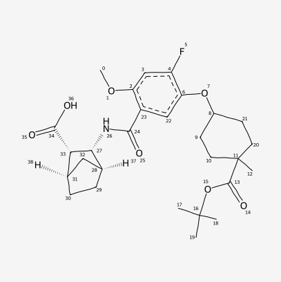 COc1cc(F)c(OC2CCC(C)(C(=O)OC(C)(C)C)CC2)cc1C(=O)N[C@@H]1[C@H]2CC[C@H](C2)[C@@H]1C(=O)O